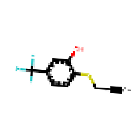 C#CCSc1ccc(C(F)(F)F)cc1O